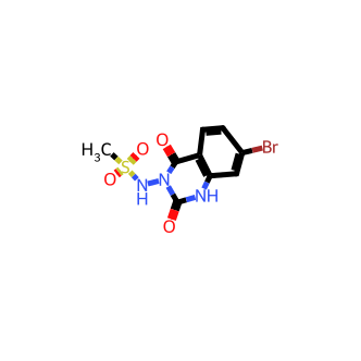 CS(=O)(=O)Nn1c(=O)[nH]c2cc(Br)ccc2c1=O